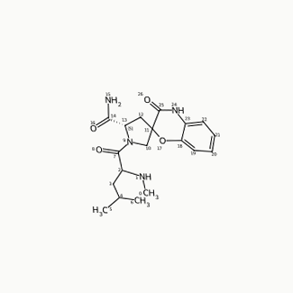 CNC(CC(C)C)C(=O)N1CC2(C[C@H]1C(N)=O)Oc1ccccc1NC2=O